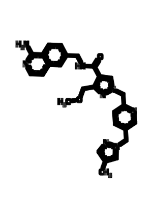 COCc1nn(Cc2ccc(Cn3cc(C)cn3)cn2)cc1C(=O)NCc1ccc2c(N)nccc2c1